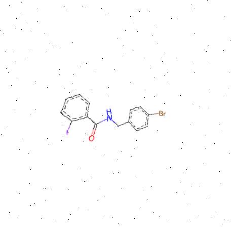 O=C(NCc1ccc(Br)cc1)c1ccccc1I